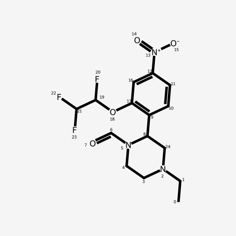 CCN1CCN(C=O)C(c2ccc([N+](=O)[O-])cc2OC(F)C(F)F)C1